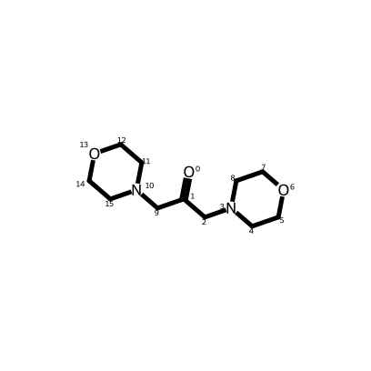 O=C(CN1CCOCC1)CN1CCOCC1